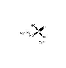 O=P(O)(O)O.[Ag+].[Ca+2].[Na+]